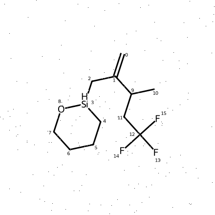 C=C(C[SiH]1CCCCO1)C(C)CC(F)(F)F